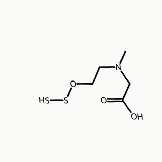 CN(CCOSS)CC(=O)O